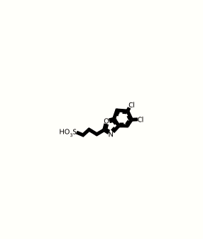 O=S(=O)(O)CCCc1nc2[c]c(Cl)c(Cl)cc2o1